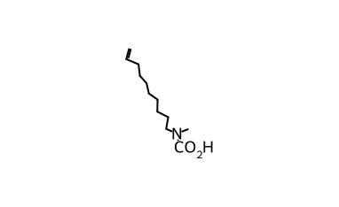 C=CCCCCCCCCN(C)C(=O)O